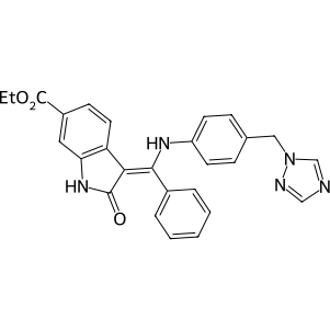 CCOC(=O)c1ccc2c(c1)NC(=O)C2=C(Nc1ccc(Cn2cncn2)cc1)c1ccccc1